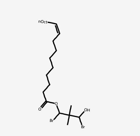 CCCCCCCC/C=C\CCCCCCCC(=O)OC(Br)C(C)(C)C(O)Br